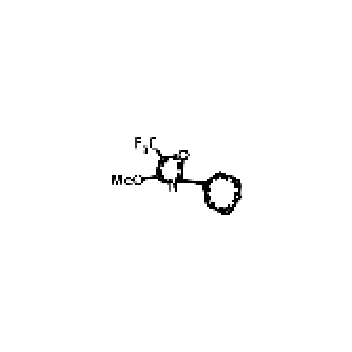 COc1nc(-c2ccccc2)oc1C(F)(F)F